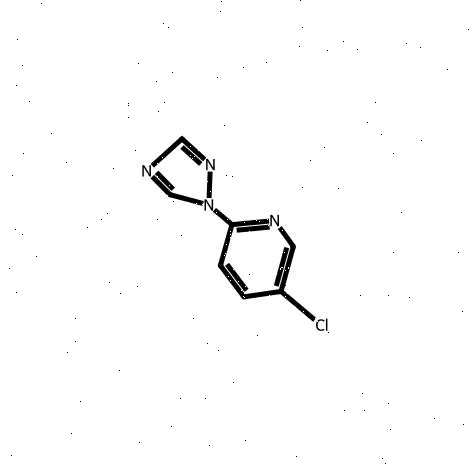 Clc1ccc(-n2cncn2)nc1